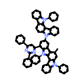 Cc1cc2c(c3ccccc3n2-c2ccccc2)c2c1c1cc(-n3c4ccccc4c4c3ccc3c5ccccc5n(-c5ccccc5)c34)cc(-c3cc(-c4ccccc4)nc(-c4ccccc4)n3)c1n2-c1ccccc1